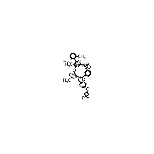 Cc1cccc(C)c1-c1nc2nc(c1C)OC[C@@H](CC(C)C)N(Cc1ncc(OC3CC(F)(F)C3)cn1)C(=O)c1cccc(c1)S(=O)(=O)N2